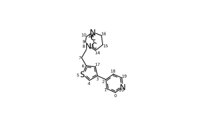 c1cc(-c2csc(CN3CCN4CCC3CC4)c2)ccn1